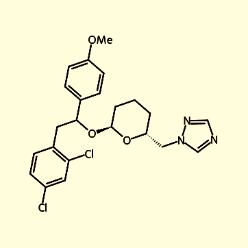 COc1ccc(C(Cc2ccc(Cl)cc2Cl)O[C@H]2CCC[C@H](Cn3cncn3)O2)cc1